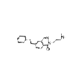 CN(C)CCCn1ncc2cc(C=Cc3ccccc3)ccc2c1=O